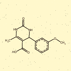 COc1cccc(C2NC(=O)NC(C)=C2C(=O)O)c1